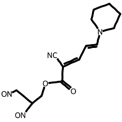 N#C/C(=C\C=C\N1CCCCC1)C(=O)OCC(CN=O)N=O